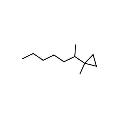 CCCCCC(C)C1(C)CC1